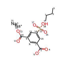 CCCC.O=C([O-])c1cc(C(=O)[O-])cc(S(=O)(=O)O)c1.[Na+].[Na+]